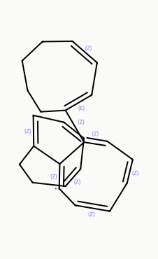 [C]1=C(C2=C\C=C/C=C\CC\2)\C(C2=C\C=C/CCCC/2)=C/C=C\C=C/1